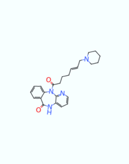 O=C1Nc2cccnc2N(C(=O)CCC/C=C/CN2CCCCC2)c2ccccc21